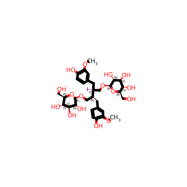 COc1cc(C[C@H](CO[C@@H]2O[C@H](CO)[C@@H](O)[C@H](O)[C@H]2O)[C@](I)(CO[C@@H]2O[C@H](CO)[C@@H](O)[C@H](O)[C@H]2O)Cc2ccc(O)c(OC)c2)ccc1O